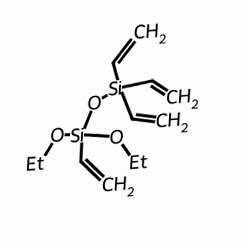 C=C[Si](C=C)(C=C)O[Si](C=C)(OCC)OCC